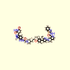 Cc1cc(OC[C@@H](C)CC2CCN(CC(=O)Nc3ccc4c(C5CCC(=O)NC5=O)nn(C)c4c3)CC2)ccc1-c1ccc(N2CCc3ccnc(C(=O)Nc4nc5ccccc5s4)c3C2)nc1C(=O)O